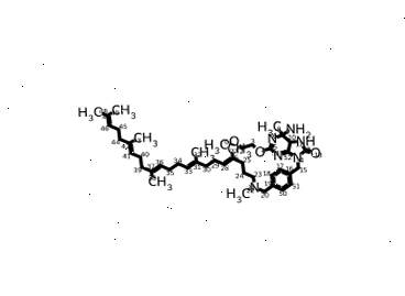 COCCOC1=NC(C)(N)C2NC(=O)N(Cc3ccc(CN(C)CCC/C(C)=C/CC/C(C)=C/CC/C=C(\C)CC/C=C(\C)CCC=C(C)C)cc3)C2=N1